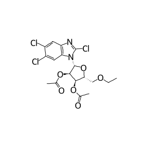 CCOC[C@H]1O[C@@H](n2c(Cl)nc3cc(Cl)c(Cl)cc32)[C@H](OC(C)=O)[C@@H]1OC(C)=O